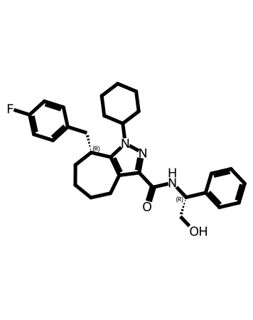 O=C(N[C@@H](CO)c1ccccc1)c1nn(C2CCCCC2)c2c1CCCC[C@@H]2Cc1ccc(F)cc1